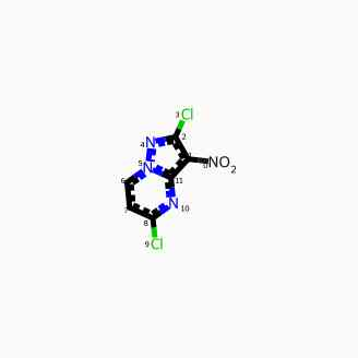 O=[N+]([O-])c1c(Cl)nn2ccc(Cl)nc12